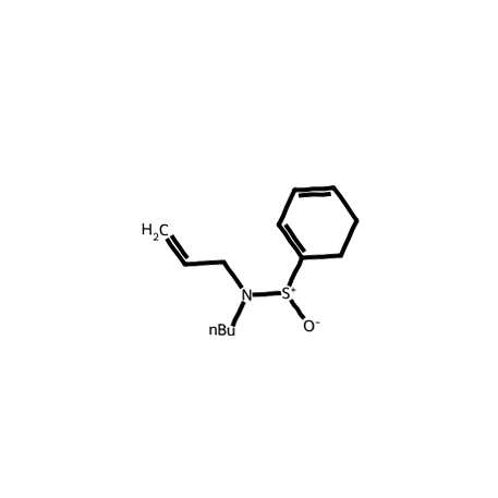 C=CCN(CCCC)[S+]([O-])C1=CC=CCC1